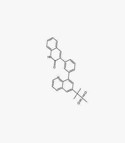 CC(C)(c1cc(-c2cccc(-c3cc4ccccc4[nH]c3=O)c2)c2ncccc2c1)S(C)(=O)=O